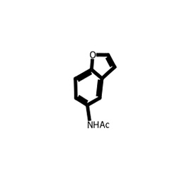 CC(=O)Nc1ccc2occc2c1